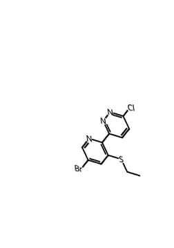 CCSc1cc(Br)cnc1-c1ccc(Cl)nn1